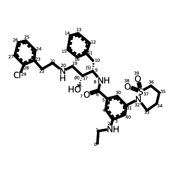 CCNc1cc(C(=O)N[C@@H](Cc2ccccc2)[C@H](O)CNCCc2ccccc2Cl)cc(N2CCCCS2(=O)=O)c1